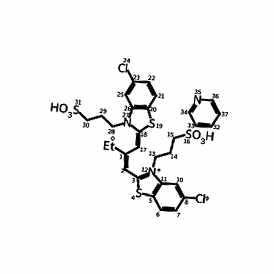 CCC(=Cc1sc2ccc(Cl)cc2[n+]1CCCS(=O)(=O)O)C=C1Sc2ccc(Cl)cc2N1CCCS(=O)(=O)O.c1ccncc1